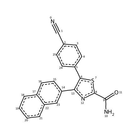 N#Cc1ccc(-c2sc(C(N)=O)nc2-c2ccc3ccccc3c2)cc1